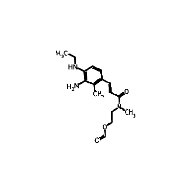 CCNc1ccc(/C=C/C(=O)N(C)CCOC=O)c(C)c1N